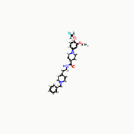 COc1cc(N2CCC(C(=O)NCCC3CCN(Cc4ccccc4)CC3)CC2)ccc1OC(F)(F)F